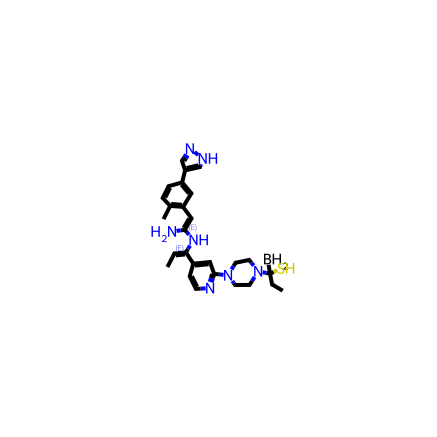 BC(S)(CC)N1CCN(c2cc(/C(=C\C)N/C(N)=C/c3cc(-c4cn[nH]c4)ccc3C)ccn2)CC1